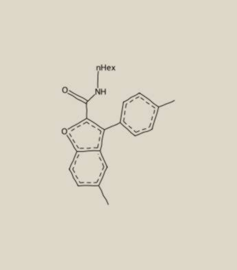 CCCCCCNC(=O)c1oc2ccc(C)cc2c1-c1ccc(C)cc1